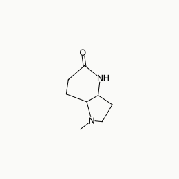 CN1CCC2NC(=O)CCC21